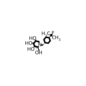 CC(C)(F)[C@H]1CC[C@H](CN2C[C@H](O)[C@@H](O)[C@H](O)[C@@H]2CO)CC1